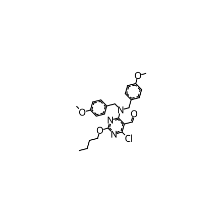 CCCCOc1nc(Cl)c(C=O)c(N(Cc2ccc(OC)cc2)Cc2ccc(OC)cc2)n1